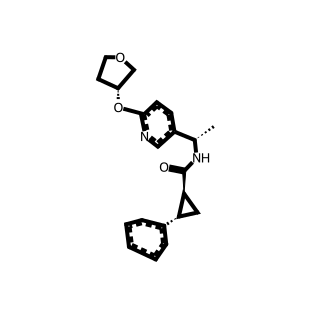 C[C@H](NC(=O)[C@H]1C[C@@H]1c1ccccc1)c1ccc(O[C@@H]2CCOC2)nc1